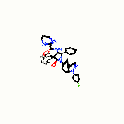 CC1(C)C(=O)N(c2ccc3c(cnn3-c3ccc(F)cc3)c2)[C@@H](c2ccccc2)[C@@H]1NC(=O)c1ncccn1